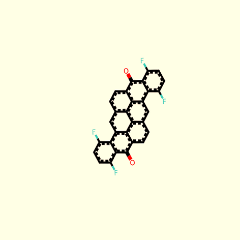 O=c1c2ccc3cc4c5c(F)ccc(F)c5c(=O)c5ccc6cc(c7c(F)ccc(F)c17)c2c3c6c54